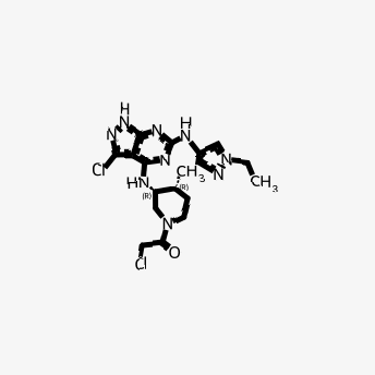 CCn1cc(Nc2nc(N[C@H]3CN(C(=O)CCl)CC[C@H]3C)c3c(Cl)n[nH]c3n2)cn1